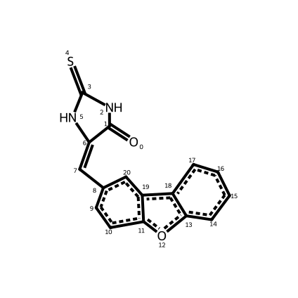 O=C1NC(=S)NC1=Cc1ccc2oc3ccccc3c2c1